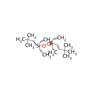 C=C[Si](C=C)(C=CC(C)(C)C)OO[Si](C=C)(C=C)C=CC(C)(C)C